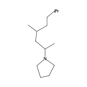 CC(C)CCC(C)CC(C)N1CCCC1